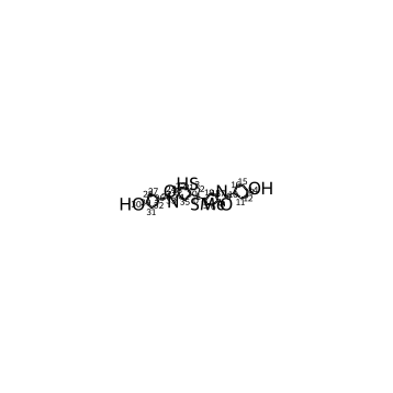 CSC(CS)(c1ccc2oc(-c3ccc(O)cc3)nc2c1)c1ccc2oc(-c3ccc(O)cc3)nc2c1